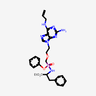 C=CCNc1nc(N)nc2c1ncn2CCOCP(=O)(NC(Cc1ccccc1)C(=O)OCC)Oc1ccccc1